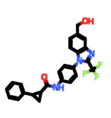 O=C(Nc1ccc(-n2c(C(F)(F)F)nc3cc(CO)ccc32)cc1)C1CC1c1ccccc1